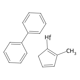 CC1=[C]([Hf])CC=C1.c1ccc(-c2ccccc2)cc1